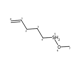 C=CCCC[SiH2]OC